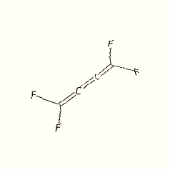 FC(F)=C=C=C(F)F